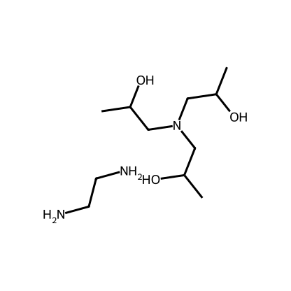 CC(O)CN(CC(C)O)CC(C)O.NCCN